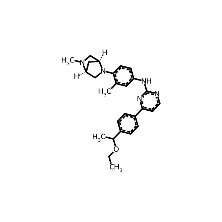 CCOC(C)c1ccc(-c2ccnc(Nc3ccc(N4C[C@@H]5C[C@H]4CN5C)c(C)c3)n2)cc1